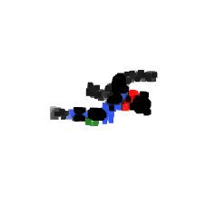 COc1ccc(OC)c(CN(C(=O)Oc2c(C)cc(C)cc2C)c2ccnc(Nc3ccc(N4CCN(C(C)C)CC4)c(Cl)c3)n2)c1